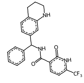 O=C(NC(c1ccccc1)c1ccc2c(c1)NCCC2)c1ccc(C(F)(F)F)[nH]c1=O